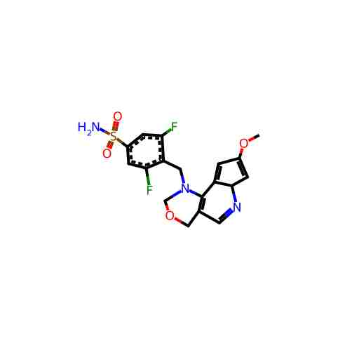 COC1=CC2N=CC3=C(C2=C1)N(Cc1c(F)cc(S(N)(=O)=O)cc1F)COC3